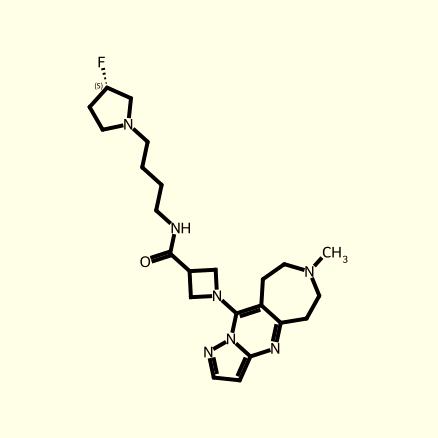 CN1CCc2nc3ccnn3c(N3CC(C(=O)NCCCCN4CC[C@H](F)C4)C3)c2CC1